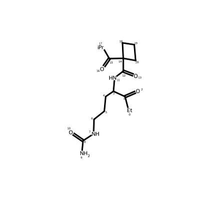 CCC(=O)C(CCCNC(N)=O)NC(=O)C1(C(=O)C(C)C)CCC1